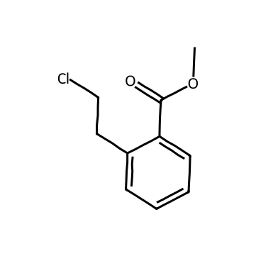 COC(=O)c1ccccc1CCCl